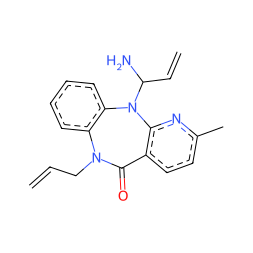 C=CCN1C(=O)c2ccc(C)nc2N(C(N)C=C)c2ccccc21